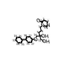 O=c1ccnnn1CCCC(O)(CO)COc1ccc(-c2ccccc2)cc1